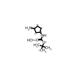 CC(C)(C)OC(=O)NC1CCC(N)C1.Cl